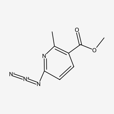 COC(=O)c1ccc(N=[N+]=[N-])nc1C